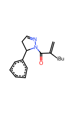 C=C(C(=O)N1N=CCC1c1ccccc1)C(C)CC